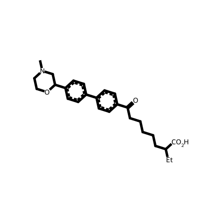 CCC(CCCCCC(=O)c1ccc(-c2ccc(C3CN(C)CCO3)cc2)cc1)C(=O)O